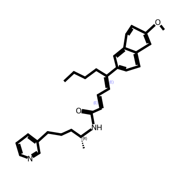 CCCC/C(=C\C=C\C(=O)N[C@H](C)CCCc1cccnc1)c1ccc2cc(OC)ccc2c1